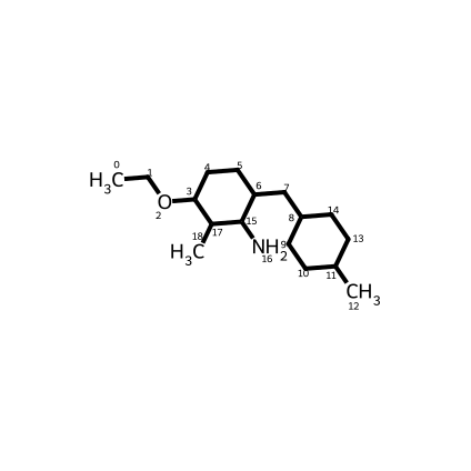 CCOC1CCC(CC2CCC(C)CC2)C(N)C1C